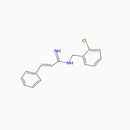 N=C(/C=C/c1ccccc1)NCc1ccccc1Cl